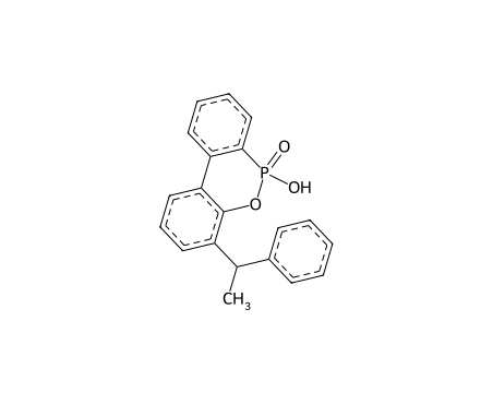 CC(c1ccccc1)c1cccc2c1OP(=O)(O)c1ccccc1-2